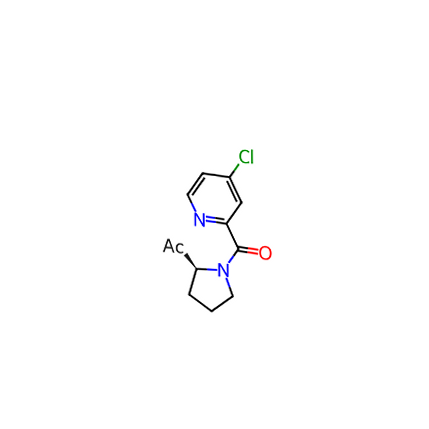 CC(=O)[C@@H]1CCCN1C(=O)c1cc(Cl)ccn1